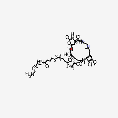 COc1cc2cc(c1Cl)N(C)C(=O)CC(OC(=O)[C@H](C)N(C)C(=O)CCC(C)(C)SSCCCC(=O)NCCC(C)(C)OCN)[C@](C)(O)C[C@H](C)[C@@H]1C[C@@](O)(NC(=O)O1)[C@H](OC)/C=C/C=C(\C)C2